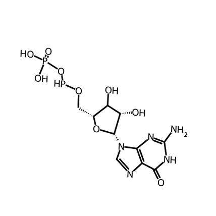 Nc1nc2c(ncn2[C@@H]2O[C@H](COPOP(=O)(O)O)C(O)[C@@H]2O)c(=O)[nH]1